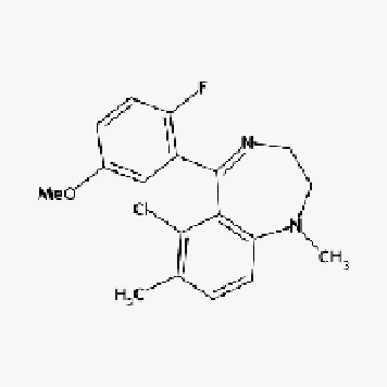 COc1ccc(F)c(C2=NCCN(C)c3ccc(C)c(Cl)c32)c1